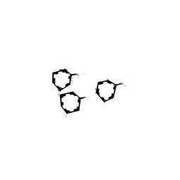 [Cr+3].[O-]c1ccccc1.[O-]c1ccccc1.[O-]c1ccccc1